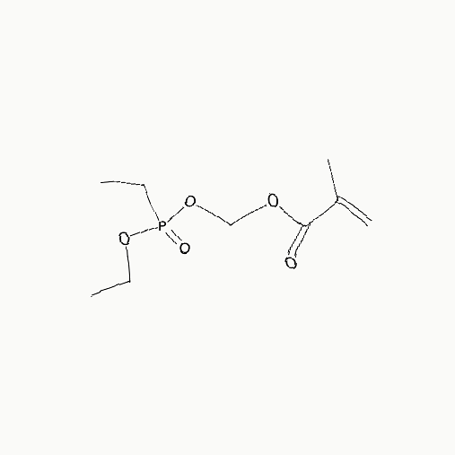 C=C(C)C(=O)OCOP(=O)(CC)OCC